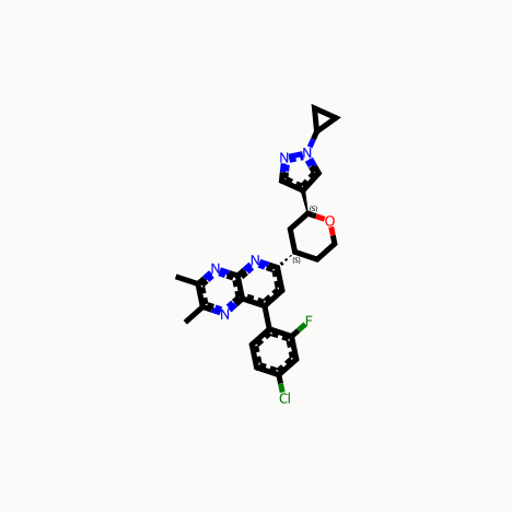 Cc1nc2nc([C@H]3CCO[C@H](c4cnn(C5CC5)c4)C3)cc(-c3ccc(Cl)cc3F)c2nc1C